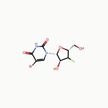 O=c1[nH]c(=O)n([C@@H]2O[C@H](CO)C(F)[C@H]2O)cc1Br